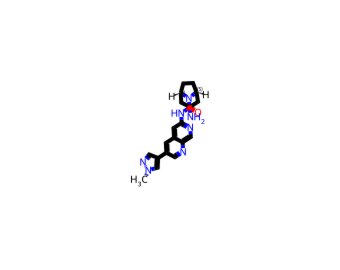 Cn1cc(-c2cnc3cnc(NC(=O)N4[C@@H]5CC[C@H]4CC(N)C5)cc3c2)cn1